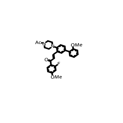 COc1ccc(C(=O)C=Cc2cc(-c3ccccc3OC)ccc2N2CCN(C(C)=O)CC2)c(F)c1